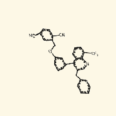 N#Cc1ccc(C#N)c(COc2cccc(-c3c(Cc4ccccc4)cnc4c(C(F)(F)F)cccc34)c2)c1